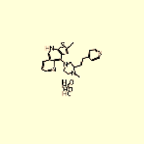 Cc1cc2c(s1)NC=c1cccnc1=C2N1CCN(C)C(CCc2ccncc2)C1.Cl.Cl.Cl.O